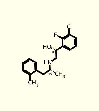 Cc1ccccc1C[C@@H](C)NC[C@H](O)c1cccc(Cl)c1F